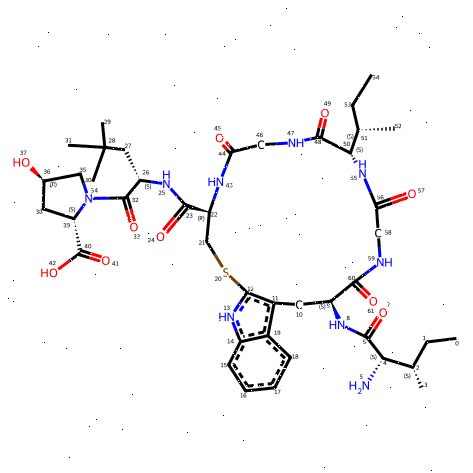 CC[C@H](C)[C@H](N)C(=O)N[C@H]1Cc2c([nH]c3ccccc23)SC[C@@H](C(=O)N[C@@H](CC(C)(C)C)C(=O)N2C[C@H](O)C[C@H]2C(=O)O)NC(=O)CNC(=O)[C@H]([C@@H](C)CC)NC(=O)CNC1=O